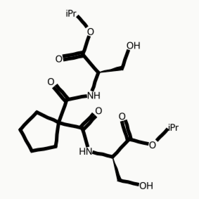 CC(C)OC(=O)[C@@H](CO)NC(=O)C1(C(=O)N[C@H](CO)C(=O)OC(C)C)CCCC1